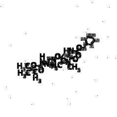 CON(C)C(=O)[C@H](CCONC=NNC(=O)OC(C)(C)C)NC(=O)OCc1ccccc1